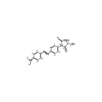 CC(C)C1NC(=S)N(c2ccc(/N=N/c3ccc(N(C)C)cc3)cc2)C1=O